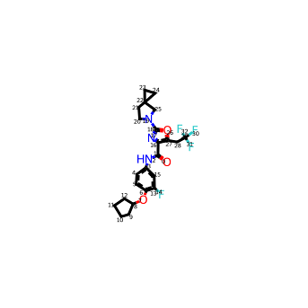 O=C(Nc1ccc(OC2CCCC2)c(F)c1)c1nc(N2CCC3(CC3)C2)oc1CC(F)(F)F